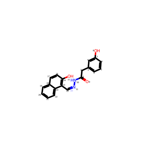 O=C(Cc1cccc(O)c1)N/N=C\c1c(O)ccc2ccccc12